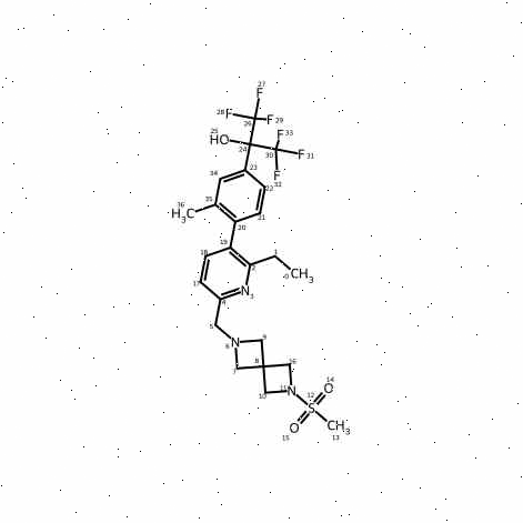 CCc1nc(CN2CC3(C2)CN(S(C)(=O)=O)C3)ccc1-c1ccc(C(O)(C(F)(F)F)C(F)(F)F)cc1C